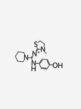 CN1CCSC1=[N+]=C(Nc1ccc(O)cc1)N1CCCCC1